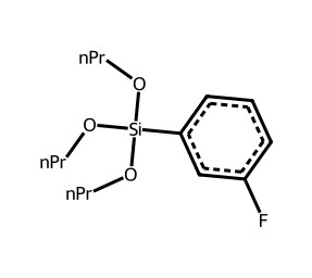 CCCO[Si](OCCC)(OCCC)c1cccc(F)c1